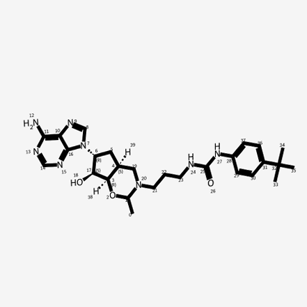 CC1O[C@@H]2[C@@H](C[C@@H](n3cnc4c(N)ncnc43)[C@@H]2O)CN1CCCNC(=O)Nc1ccc(C(C)(C)C)cc1